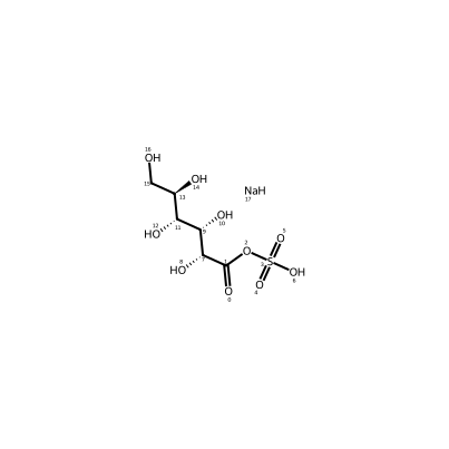 O=C(OS(=O)(=O)O)[C@H](O)[C@@H](O)[C@H](O)[C@H](O)CO.[NaH]